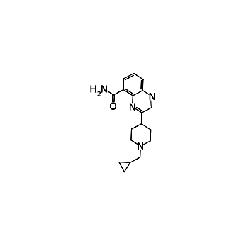 NC(=O)c1cccc2ncc(C3CCN(CC4CC4)CC3)nc12